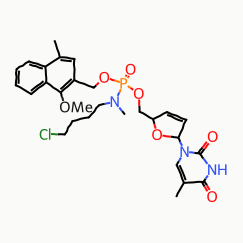 COc1c(COP(=O)(OCC2C=CC(n3cc(C)c(=O)[nH]c3=O)O2)N(C)CCCCCl)cc(C)c2ccccc12